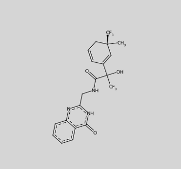 C[C@]1(C(F)(F)F)C=C(C(O)(C(=O)NCc2nc3ccccc3c(=O)[nH]2)C(F)(F)F)C=CC1